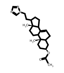 CC(=O)O[C@H]1CC[C@@]2(C)C(CC=C3C2CC[C@]2(C)C(CCn4cncn4)CCC32)C1